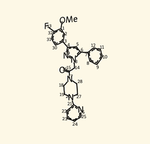 COc1cc(-c2cc(-c3ccccc3)n(CC(=O)N3CCN(c4ccccn4)CC3)n2)ccc1F